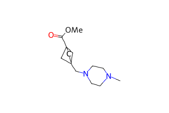 COC(=O)C12CC(CN3CCN(C)CC3)(C1)C2